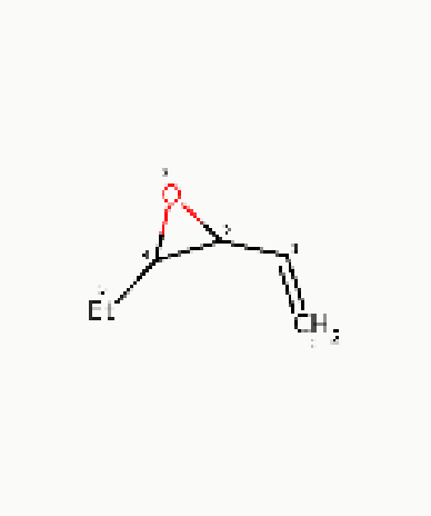 C=CC1OC1CC